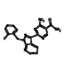 NC(=O)c1cnc(-c2nn(Cc3ccccc3F)c3ncccc23)nc1N